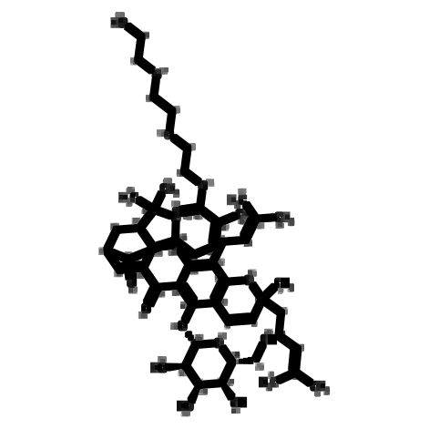 CC(C)=CCCC1(C)C=Cc2c(c(CC=C(C)C)c3c(c2O[C@@H]2O[C@H](CO)[C@@H](O)[C@@H](O)[C@H]2O)C(=O)C2=CC4CC5C(C)(C)OC(C/C=C(/C)C(=O)OCCOCCOCCO)(C4=O)C25O3)O1